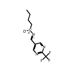 CCCC[S@+]([O-])/N=C/c1cnc(C(F)(F)F)nc1